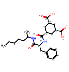 CCCCCC(C)NC(=O)[C@H](Cc1ccccc1)NC(=O)[C@@H]1C[C@H](C(=O)O)C[C@H](C(=O)O)C1